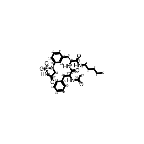 CCCCCNC(=O)[C@H](Cc1cccc(N2CC(=O)NS2(=O)=O)c1)NC(=O)C(Cc1ccccc1)NC(C)=O